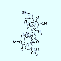 COC(=O)[C@]12CCC(C)(C)C[C@H]1[C@H]1C(=O)C=C3[C@@]4(C)C=C(C#N)C(=O)[C@@](C)(NC(=O)OC(C)(C)C)[C@@H]4CC[C@@]3(C)[C@]1(C)CC2